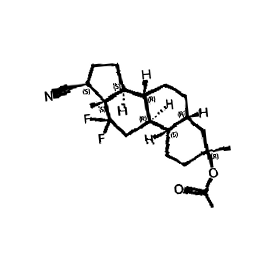 CC(=O)O[C@]1(C)CC[C@H]2[C@H](CC[C@@H]3[C@@H]2CC(F)(F)[C@]2(C)[C@@H](C#N)CC[C@@H]32)C1